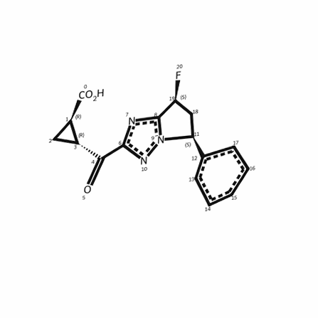 O=C(O)[C@@H]1C[C@H]1C(=O)c1nc2n(n1)[C@H](c1ccccc1)C[C@@H]2F